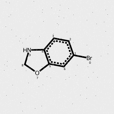 Brc1ccc2c(c1)OCN2